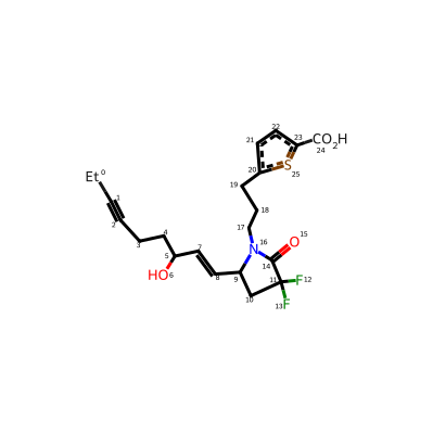 CCC#CCCC(O)/C=C/C1CC(F)(F)C(=O)N1CCCc1ccc(C(=O)O)s1